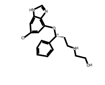 OCCNCC[C@@H](Oc1cc(Cl)cc2[nH]cnc12)c1ccccc1